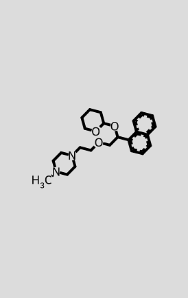 CN1CCN(CCOCC(OC2CCCCO2)c2cccc3ccccc23)CC1